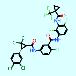 O=C(Nc1ccc(F)c(NC(=O)C2(C(F)(F)F)CC2)c1F)c1cc(NC(=O)C2[C@H](c3ccc(Cl)c(Cl)c3)C2(Cl)Cl)ccc1Cl